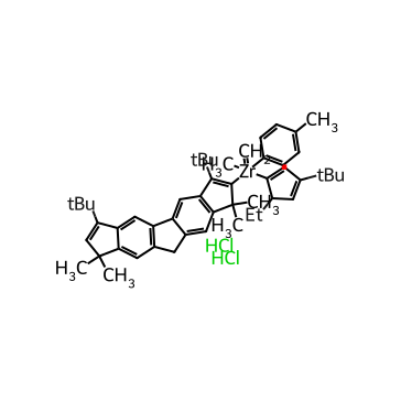 Cl.Cl.[CH2]=[Zr]([CH3])([C]1=CC(C(C)(C)C)=CC1CC)([C]1=C(C(C)(C)C)c2cc3c(cc2C1(C)C)Cc1cc2c(cc1-3)C(C(C)(C)C)=CC2(C)C)[c]1ccc(C)cc1